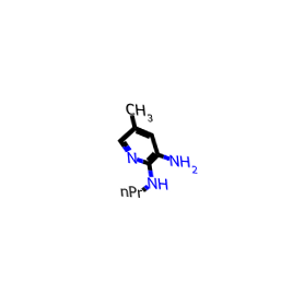 CCCNc1ncc(C)cc1N